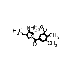 CC[C@@H]1CN(C(=O)c2cc(C)c(C)c(OC)c2)C=C1N